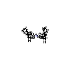 O=C(/C=C/C(=O)O[C@]12CNC[C@@H]1N(c1cccnc1)C2)O[C@]12CNC[C@@H]1N(c1cccnc1)C2